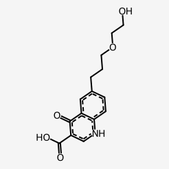 O=C(O)c1c[nH]c2ccc(CCCOCCO)cc2c1=O